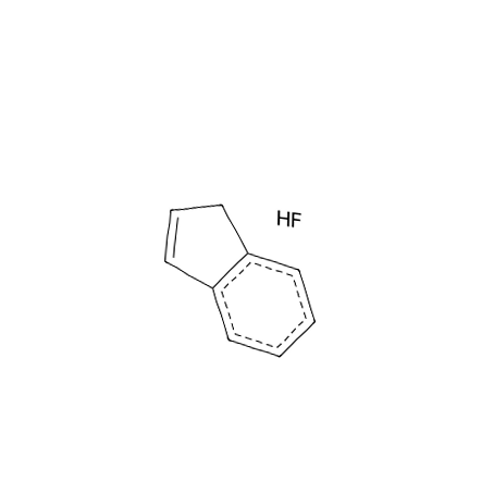 C1=Cc2ccccc2C1.F